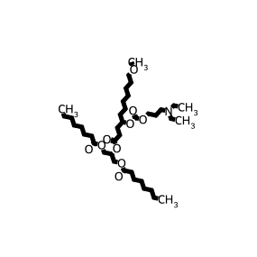 CCCCCCCC(=O)OCC(COC(=O)CCCCCCC)OC(=O)CCC(CCCCCCCOC)OC(=O)OCCCN(CC)CC